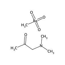 CC(=O)CN(C)C.[CH3][Re](=[O])(=[O])=[O]